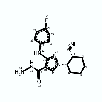 N=C[C@@H]1CCCC[C@@H]1n1cc(C(=O)NN)c(Nc2ccc(F)cc2)n1